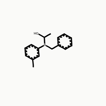 Cc1cccc(N(Cc2ccccc2)C(C)O)c1